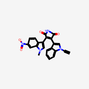 C#Cn1cc(C2=C(c3cn(C)c4cc([N+](=O)[O-])ccc34)C(=O)NC2=O)c2ccccc21